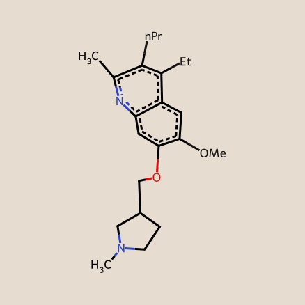 CCCc1c(C)nc2cc(OCC3CCN(C)C3)c(OC)cc2c1CC